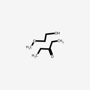 CCC(=O)CC.COCCO